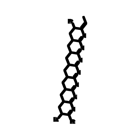 C/C=C1/N=C2N=C3N=C4N=C5N=C6N=C7N=C(CC)C(CC)CC7CC6CC5CC4CC3CC2CC1CC